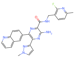 Cc1ccc(CNC(=O)c2nc(-c3ccc4ncccc4c3)c(-c3ccn(C)n3)nc2N)c(F)n1